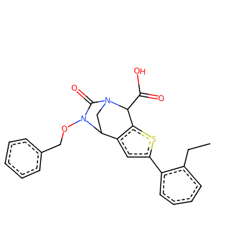 CCc1ccccc1-c1cc2c(s1)C(C(=O)O)N1CC2N(OCc2ccccc2)C1=O